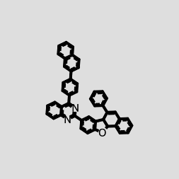 C1=C(c2ccccc2)C2c3cc(-c4nc(-c5ccc(-c6ccc7ccccc7c6)cc5)c5ccccc5n4)ccc3OC2c2ccccc21